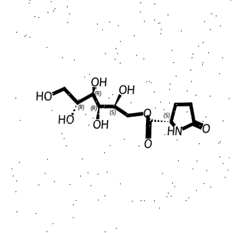 O=C1CC[C@@H](C(=O)OC[C@H](O)[C@@H](O)[C@H](O)[C@H](O)CO)N1